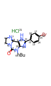 CCCCN1C(=O)N2CCN=C2c2[nH]c(-c3ccc(Br)cc3)nc21.Cl